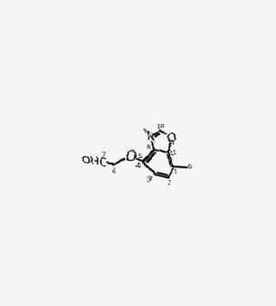 Cc1ccc(OCC=O)c2ncoc12